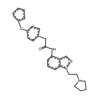 O=C(Cc1ccc(Oc2ccccc2)cc1)Nc1cccc2c1cnn2CCN1CCCC1